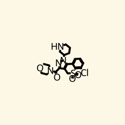 O=C(c1nn(C2CCCNC2)c2c1CS(=O)(=O)c1c(Cl)cccc1-2)N1CCOCC1